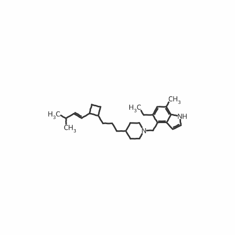 CCc1cc(C)c2[nH]ccc2c1CN1CCC(CCCC2CCC2C=CC(C)C)CC1